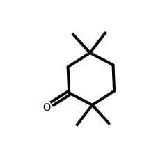 CC1(C)CCC(C)(C)C(=O)C1